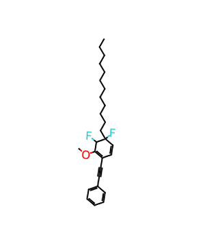 CCCCCCCCCCCCC1(F)C=CC(C#Cc2ccccc2)=C(OC)C1F